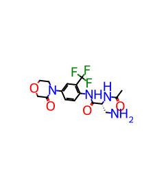 CC(=O)N[C@H](CN)C(=O)Nc1ccc(N2CCOCC2=O)cc1C(F)(F)F